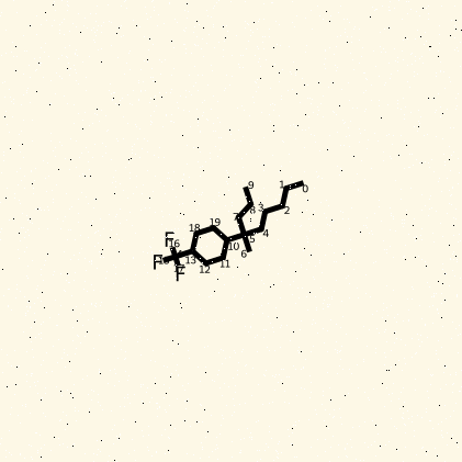 CCCCCC(C)(CCC)C1CCC(C(F)(F)F)CC1